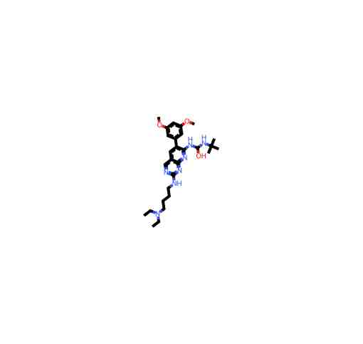 CCN(CC)CCCCNc1ncc2cc(-c3cc(OC)cc(OC)c3)c(NC(O)NC(C)(C)C)nc2n1